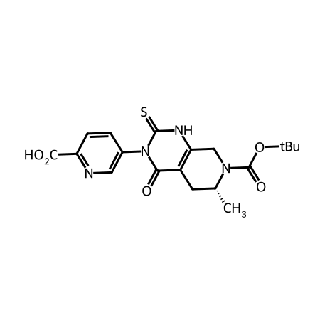 C[C@@H]1Cc2c([nH]c(=S)n(-c3ccc(C(=O)O)nc3)c2=O)CN1C(=O)OC(C)(C)C